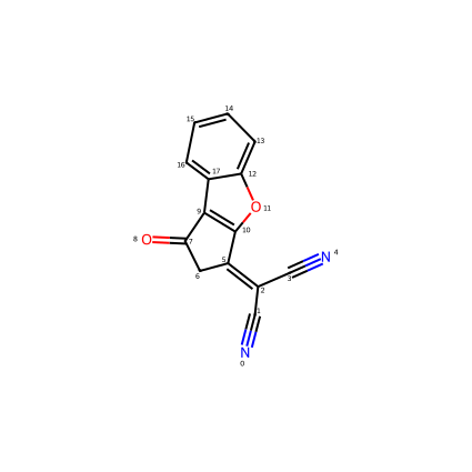 N#CC(C#N)=C1CC(=O)c2c1oc1ccccc21